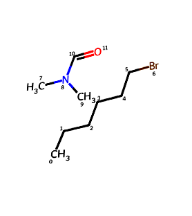 CCCCCCBr.CN(C)C=O